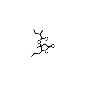 CCCC1OC(=O)CC1(C)OC(=O)C(C)CC